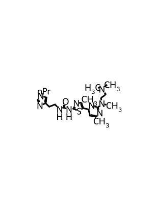 CCCn1cnc(CCNC(=O)Nc2nc(C)c(-c3cc(C)nc(N(C)CCN(C)C)n3)s2)c1